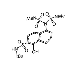 CNS(=O)(=O)N(c1cccc2c(O)c(S(=O)(=O)NC(C)(C)C)ccc12)S(=O)(=O)NC